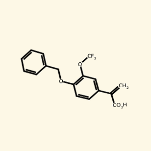 C=C(C(=O)O)c1ccc(OCc2ccccc2)c(OC(F)(F)F)c1